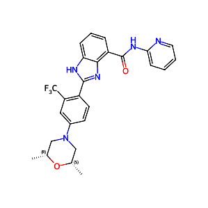 C[C@@H]1CN(c2ccc(-c3nc4c(C(=O)Nc5ccccn5)cccc4[nH]3)c(C(F)(F)F)c2)C[C@H](C)O1